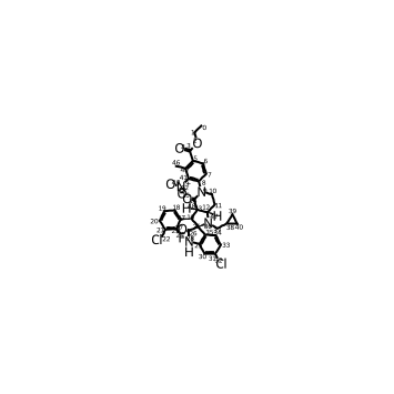 CCOC(=O)c1ccc(N2CC[C@H]3[C@@H](C2=O)[C@H](c2cccc(Cl)c2F)[C@]2(C(=O)Nc4cc(Cl)ccc42)N3CC2CC2)c([N+](=O)[O-])c1C